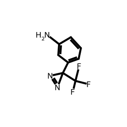 Nc1cccc(C2(C(F)(F)F)N=N2)c1